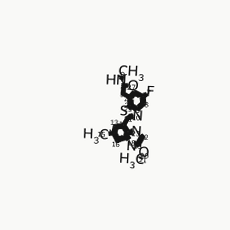 CN[C@@H]1Cc2c(c(F)cc3nc(-c4cc(C)cc5nc(OC)cnc45)sc23)O1